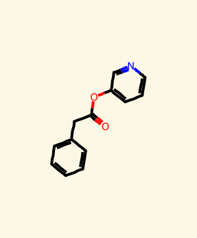 O=C(Cc1ccccc1)Oc1cccnc1